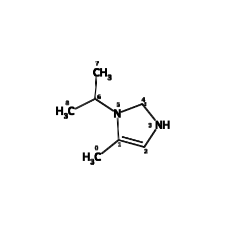 CC1=CN[C]N1C(C)C